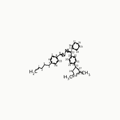 C=CCCCc1ccc(C=NN=C(c2ccccc2)c2ccc(C(CCC)CC(C)F)cc2)cc1